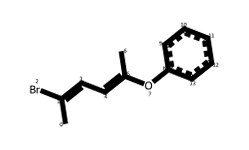 C/C(Br)=C\C=C(/C)Oc1ccccc1